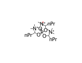 CCCC(OP(=O)(OC(CCC)[N+](C)(C)C)OC(CCC)[N+](C)(C)C)[N+](C)(C)C